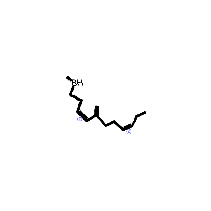 C=C(/C=C\CCBC)CC/C=C\CC